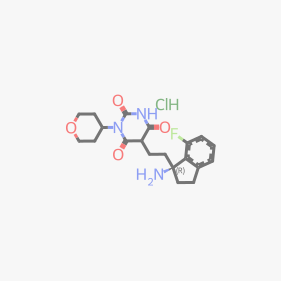 Cl.N[C@]1(CCC2C(=O)NC(=O)N(C3CCOCC3)C2=O)CCc2cccc(F)c21